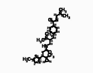 Cc1cnc(C(CC(=O)NCC(Cc2ccc(C(=O)N=CN(C)C)cc2)N(C)C)C2(C(F)(F)F)CC2)s1